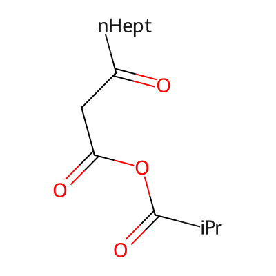 CCCCCCCC(=O)CC(=O)OC(=O)C(C)C